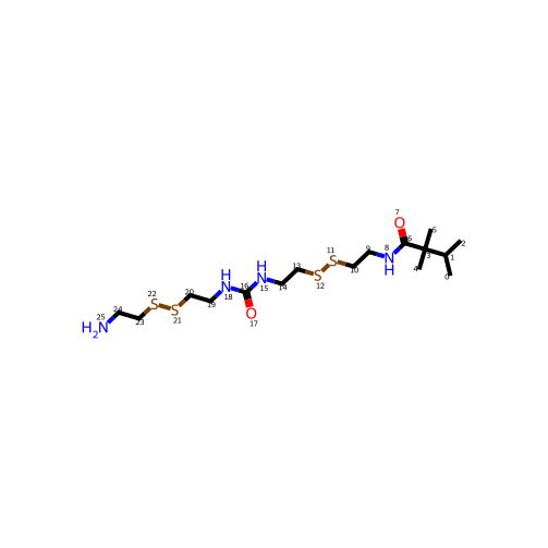 CC(C)C(C)(C)C(=O)NCCSSCCNC(=O)NCCSSCCN